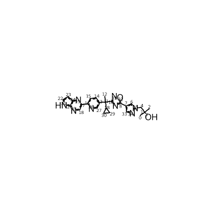 CC(C)(O)Cn1cc(-c2nc(C(C)(c3ccc(-c4cnc5[nH]ccc5n4)nc3)C3CC3)no2)cn1